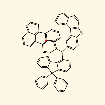 c1ccc(-c2cccc3cccc(-c4ccc(N(c5ccc6sc7ccc8ccccc8c7c6c5)c5cccc6c5-c5ccccc5C6(c5ccccc5)c5ccccc5)cc4)c23)cc1